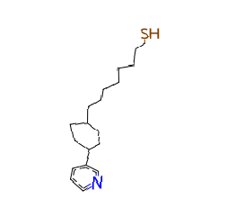 SCCCCCCCCC1CCC(c2cccnc2)CC1